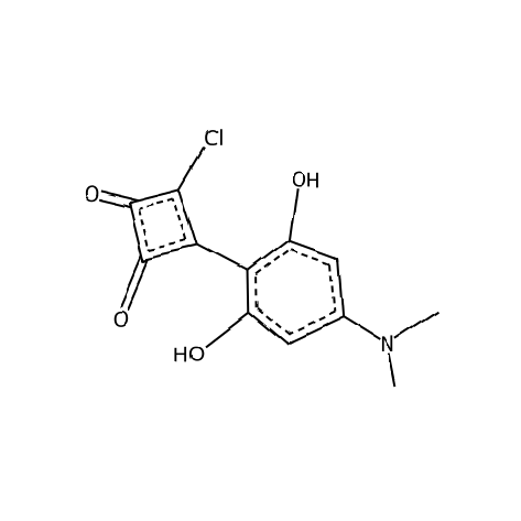 CN(C)c1cc(O)c(-c2c(Cl)c(=O)c2=O)c(O)c1